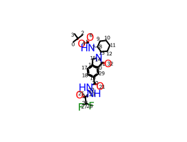 CC(C)(C)OC(=O)N[C@@H]1CCCC[C@H]1N1Cc2ccc(C(=O)NNC(=O)C(F)F)cc2C1=O